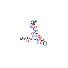 COC(=O)/C=C/CCC(NC(=O)c1oc2ccccc2c1C)C(=O)Nc1cccn(CC(=O)N[C@H]2C[C@H]3CC[C@@]2(C)C3(C)C)c1=O